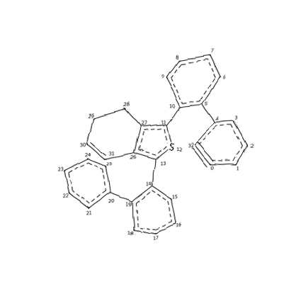 c1cccc(-c2ccccc2-c2sc(-c3ccccc3-c3ccccc3)c3c2CCC=C3)c#1